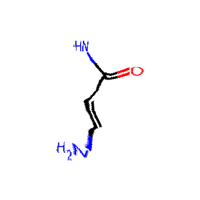 [NH]C(=O)C=CN